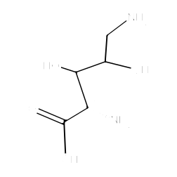 NCC(O)C(O)[C@H](N)C(=O)O